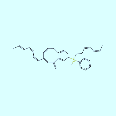 C=C1/C=C(/C=C\C=C/C=C/C)\C=C/CC(=C/C)/C1=C\CS(C)(CC/C=C\C=C/C)c1ccccc1